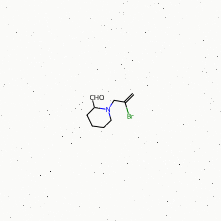 C=C(Br)CN1CCCCC1C=O